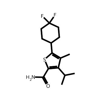 Cc1c(C2CCC(F)(F)CC2)sc(C(N)=O)c1C(C)C